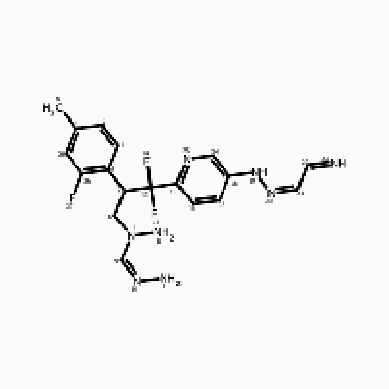 Cc1ccc(C(CN(N)/C=N\N)C(F)(F)c2ccc(N/N=C\C=N)cn2)c(F)c1